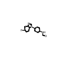 O=CNc1ccc(-n2cnc3cc(F)ccc32)cc1